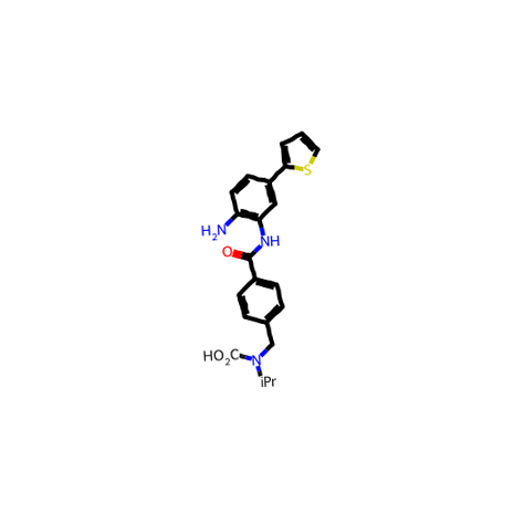 CC(C)N(Cc1ccc(C(=O)Nc2cc(-c3cccs3)ccc2N)cc1)C(=O)O